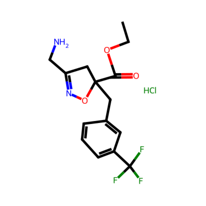 CCOC(=O)C1(Cc2cccc(C(F)(F)F)c2)CC(CN)=NO1.Cl